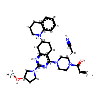 C=CC(=O)N1CCN(c2nc(N3CC[C@@H](OC)C3)nc3c2CC[C@@H](N2CCCc4ccccc42)C3)C[C@@H]1CC#N